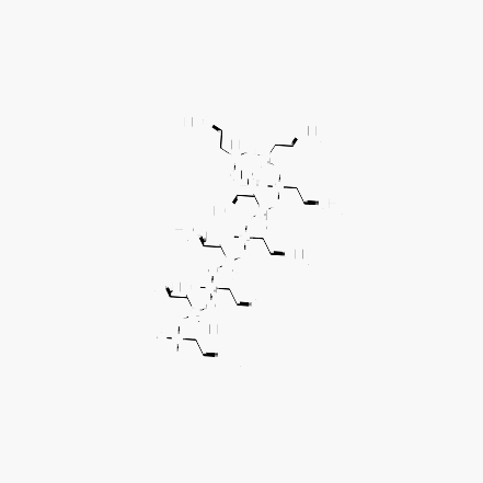 C=CC[SiH](C)O[Si](C)(CC=C)O[Si](C)(CC=C)O[Si](C)(CC=C)O[Si](C)(CC=C)O[Si](C)(CC=C)O[Si](C)(CC=C)O[Si](C)(CC=C)O[Si](C)(O)CC=C